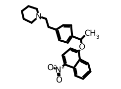 CC(Oc1ccc([N+](=O)[O-])c2ccccc12)c1ccc(CCN2CCCCC2)cc1